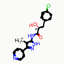 Cc1c(-c2ccncc2)n[nH]c1NC(=O)[C@H](O)Cc1ccc(Cl)cc1